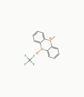 C[SH]1c2ccccc2[S+]([O-])c2ccccc21.F[B-](F)(F)F